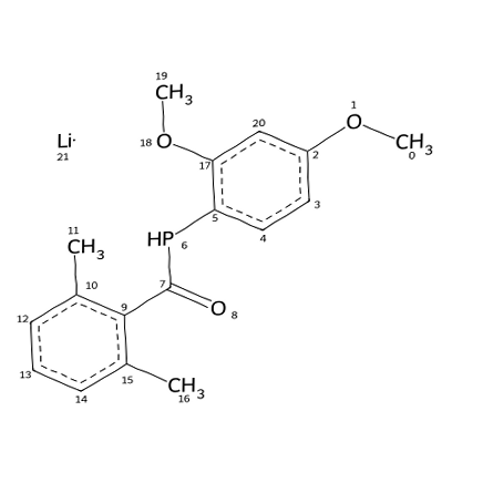 COc1ccc(PC(=O)c2c(C)cccc2C)c(OC)c1.[Li]